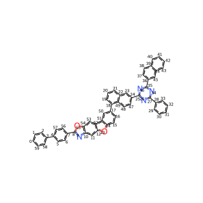 c1ccc(-c2ccc(-c3nc4cc5oc6ccc(-c7cccc8cc(-c9nc(-c%10ccccc%10)nc(-c%10ccc%11ccccc%11c%10)n9)ccc78)cc6c5cc4o3)cc2)cc1